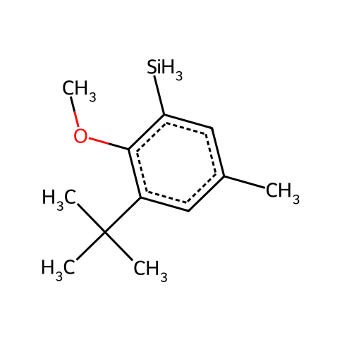 COc1c([SiH3])cc(C)cc1C(C)(C)C